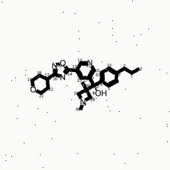 CCCc1ccc([C@](O)(c2cncc(-c3nc(C4CCOCC4)no3)c2)C2(C)CN(C)C2)cc1